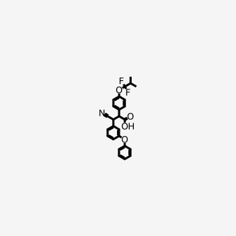 CC(C)C(F)(F)Oc1ccc(C(C(=O)O)C(C#N)c2cccc(Oc3ccccc3)c2)cc1